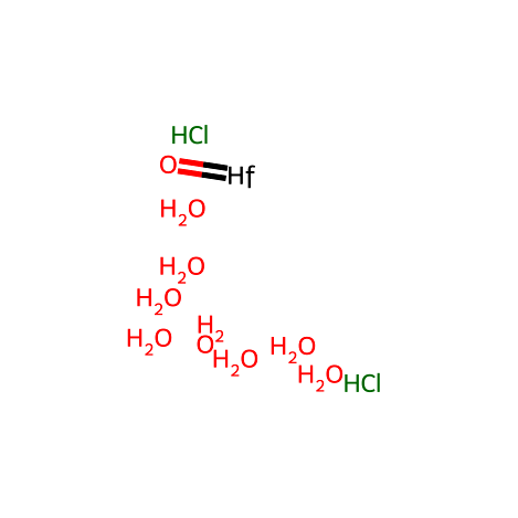 Cl.Cl.O.O.O.O.O.O.O.O.[O]=[Hf]